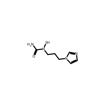 NC(=O)N(S)CCCn1ccnc1